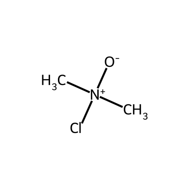 C[N+](C)([O-])Cl